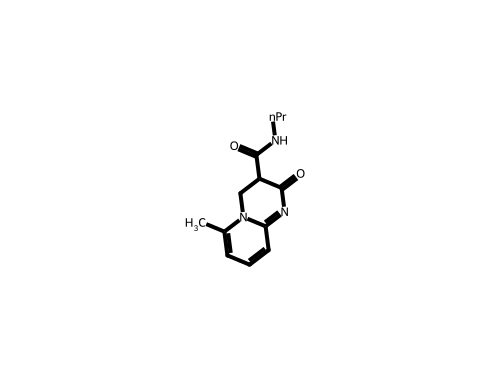 CCCNC(=O)C1CN2C(C)=CC=CC2=NC1=O